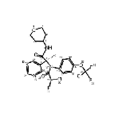 C[C@@](C(=O)NC1CCOCC1)(c1cncnc1)N(C(=O)[C@H](F)Cl)c1ccc(OC(F)(F)Cl)cc1